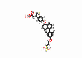 Cc1cc(OCCCS(C)(=O)=O)cc(C)c1-c1cccc2c1CCC[C@H]2Oc1ccc2c(c1)SC[C@H]2CC(=O)O